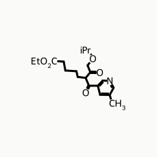 CCOC(=O)CCCCC(C(=O)COC(C)C)C(=O)c1cncc(C)c1